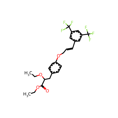 CCOC(=O)C(Cc1ccc(OCC=Cc2cc(C(F)(F)F)cc(C(F)(F)F)c2)cc1)OCC